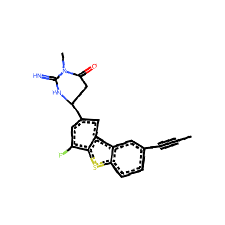 CC#Cc1ccc2sc3c(F)cc(C4CC(=O)N(C)C(=N)N4)cc3c2c1